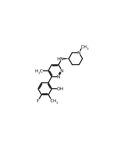 Cc1cc(N[C@@H]2CCCN(C)C2)nnc1-c1ccc(F)c(C)c1O